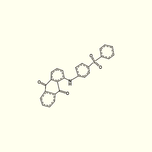 O=C1c2ccccc2C(=O)c2c(Nc3ccc(S(=O)(=O)c4ccccc4)cc3)cccc21